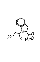 COC(=O)C1Cc2ccccc2N1C(=S)CCC(C)=O